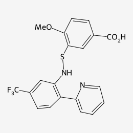 COc1ccc(C(=O)O)cc1SNc1cc(C(F)(F)F)ccc1-c1ccccn1